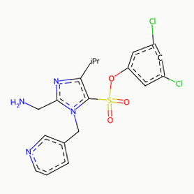 CC(C)c1nc(CN)n(Cc2cccnc2)c1S(=O)(=O)Oc1cc(Cl)cc(Cl)c1